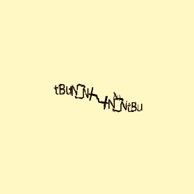 C[C@H]1CN(C(C)(C)C)CCN1C(C)(C)CCC(C)(C)N1CCN(C(C)(C)C)CC1